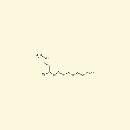 CCCCCCCCCCCCCCNOC(CC)CCNN